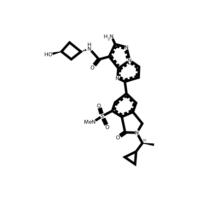 CNS(=O)(=O)c1cc(-c2ccn3nc(N)c(C(=O)N[C@H]4C[C@H](O)C4)c3n2)cc2c1C(=O)N([C@@H](C)C1CC1)C2